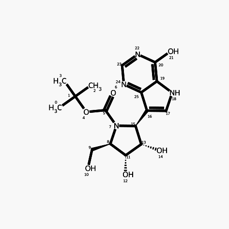 CC(C)(C)OC(=O)N1[C@H](CO)[C@@H](O)[C@@H](O)[C@@H]1c1c[nH]c2c(O)ncnc12